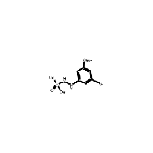 COc1cc(F)cc(NNP(=O)(O)O)c1